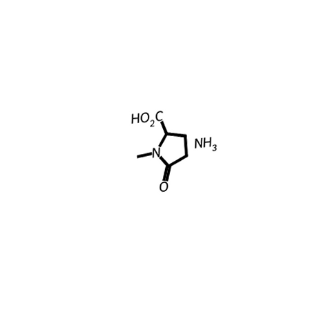 CN1C(=O)CCC1C(=O)O.N